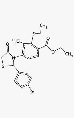 CCOC(=O)c1ccc(N2C(=O)CSC2c2ccc(F)cc2)c(C)c1SCC